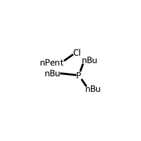 CCCCCCl.CCCCP(CCCC)CCCC